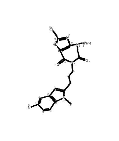 CCCCCn1c(=O)n(CCCc2cc3cc(Br)ccc3n2C)c(=O)c2[nH]c(Cl)nc21